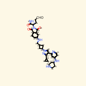 NC(=O)C(CCC=O)N1C(=O)c2ccc(NCC3CC(n4cc(-c5cc(NC6CCNCC6)ccn5)c(C5CC5)n4)C3)cc2C1=O